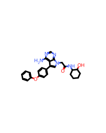 Nc1ncnc2c1c(-c1ccc(Oc3ccccc3)cc1)cn2CC(=O)NC1CCCCC1O